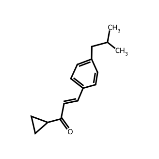 CC(C)Cc1ccc(C=CC(=O)C2CC2)cc1